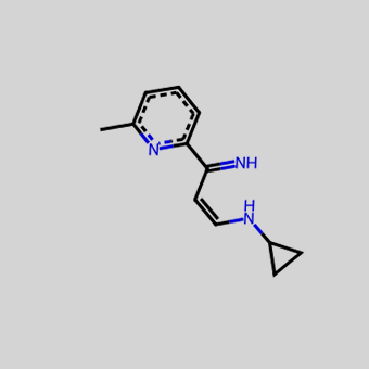 Cc1cccc(C(=N)/C=C\NC2CC2)n1